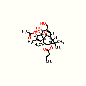 CCCC(=O)O[C@@]12C[C@@H](C)[C@]34C=C(C)[C@H](OC(C)=O)[C@@]3(O)[C@H](O)C(CO)=C[C@H](C4=O)[C@@H]1C2(C)C